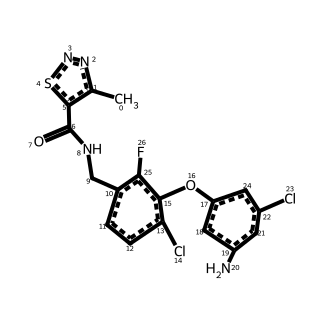 Cc1nnsc1C(=O)NCc1ccc(Cl)c(Oc2cc(N)cc(Cl)c2)c1F